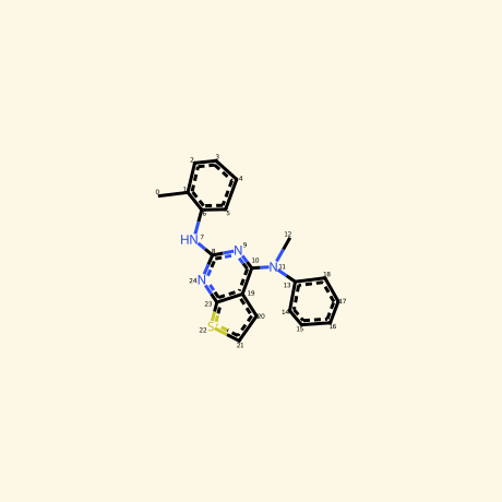 Cc1ccccc1Nc1nc(N(C)c2ccccc2)c2ccsc2n1